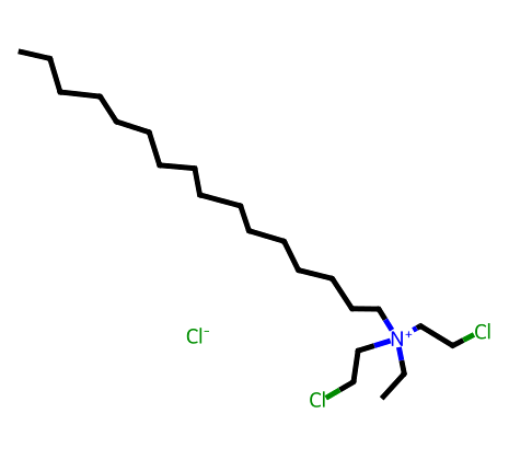 CCCCCCCCCCCCCCCC[N+](CC)(CCCl)CCCl.[Cl-]